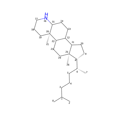 CC(C)CCC[C@@H](C)[C@H]1CCC2C3CCC4NCCC[C@]4(C)C3CC[C@@]21C